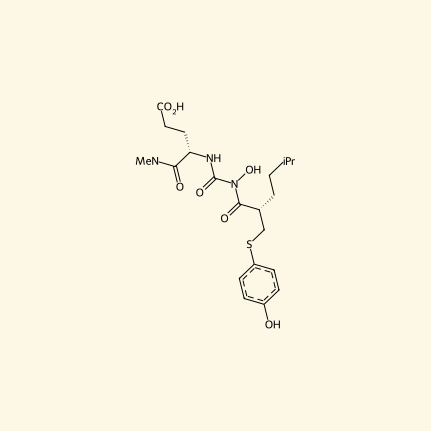 CNC(=O)[C@H](CCC(=O)O)NC(=O)N(O)C(=O)[C@H](CCC(C)C)CSc1ccc(O)cc1